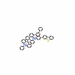 c1ccc(-c2cccc(-c3ccccc3N(c3ccc(-c4ccc5c(c4)sc4ccccc45)cc3)c3cccc4c3-c3ccccc3C43c4ccccc4N(c4ccccc4)c4ccccc43)c2)cc1